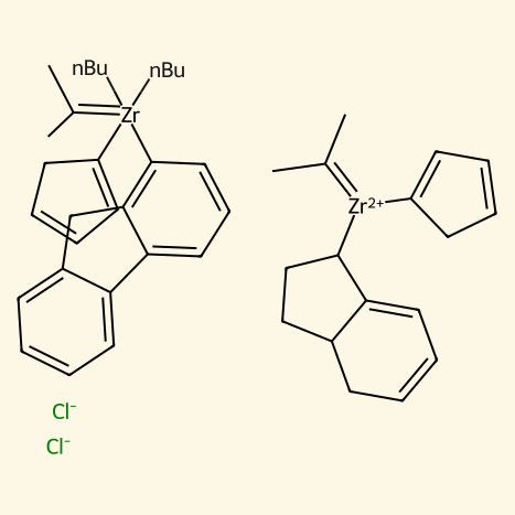 CCC[CH2][Zr]([CH2]CCC)([C]1=CC=CC1)(=[C](C)C)[c]1cccc2c1Cc1ccccc1-2.C[C](C)=[Zr+2]([C]1=CC=CC1)[CH]1CCC2CC=CC=C21.[Cl-].[Cl-]